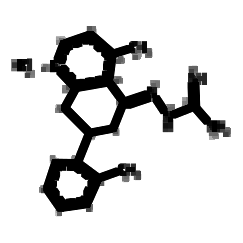 Cc1ccccc1C1CC(=NNC(=N)N)c2c(C)ccnc2C1.Cl